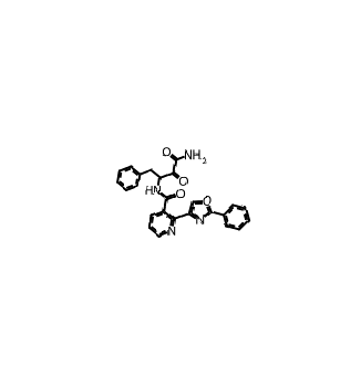 NC(=O)C(=O)C(Cc1ccccc1)NC(=O)c1cccnc1-c1coc(-c2ccccc2)n1